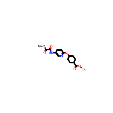 COC(=O)C(=O)Nc1ccc(OC2CCC(C(=O)OC(C)(C)C)CC2)nc1